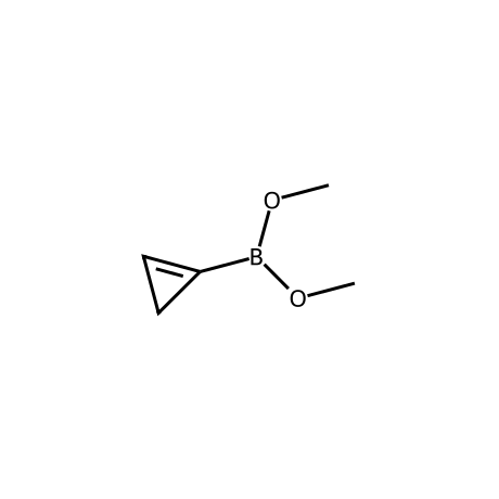 COB(OC)C1=CC1